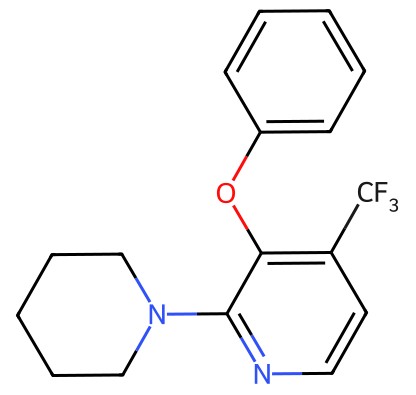 FC(F)(F)c1ccnc(N2CCCCC2)c1Oc1ccccc1